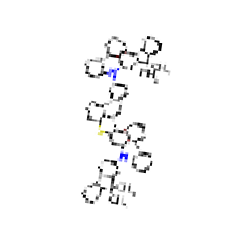 CC1(C)c2ccccc2-c2ccc(N(c3ccc4c(c3)Sc3cccc5c3c-4cc3ccc(N(c4ccc6c(c4)C(C)(C)c4ccccc4-6)c4ccccc4-c4ccccc4)cc35)c3ccccc3-c3ccccc3)cc21